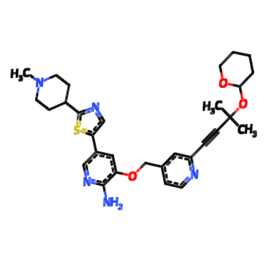 CN1CCC(c2ncc(-c3cnc(N)c(OCc4ccnc(C#CC(C)(C)OC5CCCCO5)c4)c3)s2)CC1